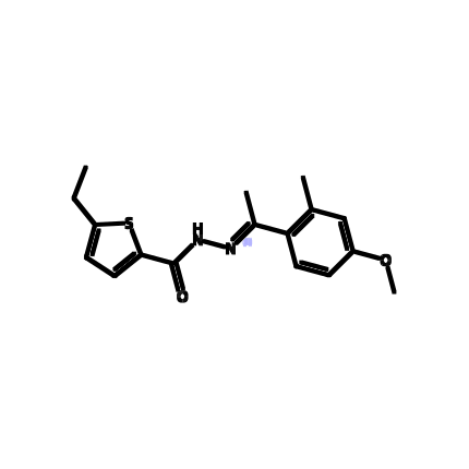 CCc1ccc(C(=O)N/N=C(\C)c2ccc(OC)cc2C)s1